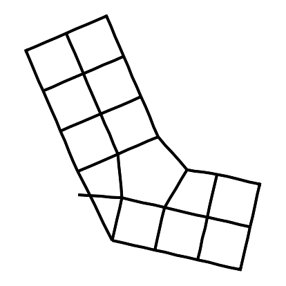 CC12C3C4C5CC6CC7C(C8C9C%10CC%11CC%12C%13C3C81C%139C%11%12%10)C42C657